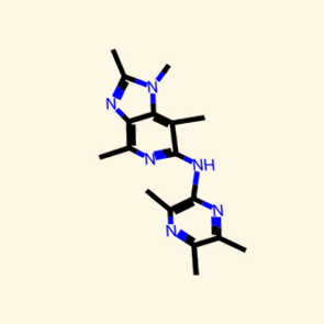 Cc1nc(C)c(Nc2nc(C)c3nc(C)n(C)c3c2C)nc1C